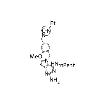 CCCCCNc1nc(N)nc2ccn(Cc3ccc(CN4CC5CCC4CN5CC)cc3OC)c12